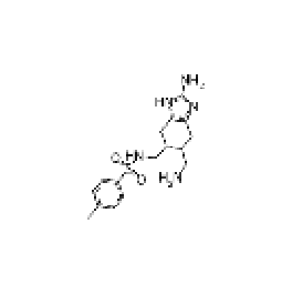 Cc1ccc(S(=O)(=O)NCC2Cc3[nH]c(N)nc3CC2CN)cc1